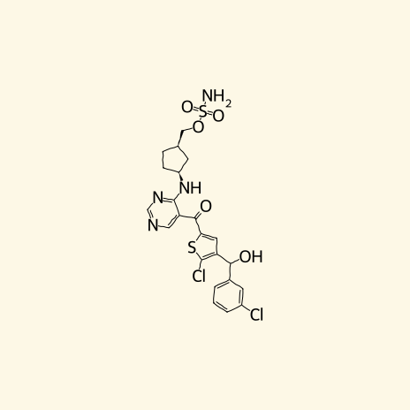 NS(=O)(=O)OC[C@@H]1CC[C@H](Nc2ncncc2C(=O)c2cc(C(O)c3cccc(Cl)c3)c(Cl)s2)C1